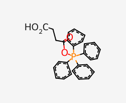 O=C(O)CCC(=O)OP(c1ccccc1)(c1ccccc1)(c1ccccc1)c1ccccc1